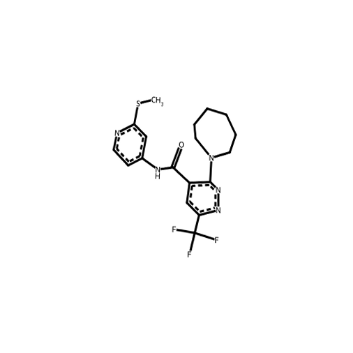 CSc1cc(NC(=O)c2cc(C(F)(F)F)nnc2N2CCCCCC2)ccn1